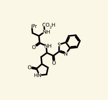 CC(C)CC(NC(=O)O)C(=O)NC(CC1CCNC1=O)C(=O)c1nc2ccccc2s1